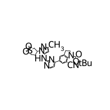 Cc1cc(Nc2nccc(-c3cc(C#N)c4c(c3)CCN4C(=O)OC(C)(C)C)n2)n(C2CCS(=O)(=O)C2)n1